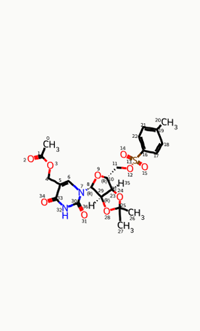 CC(=O)OCc1cn([C@@H]2O[C@H](COS(=O)(=O)c3ccc(C)cc3)[C@H]3OC(C)(C)O[C@H]32)c(=O)[nH]c1=O